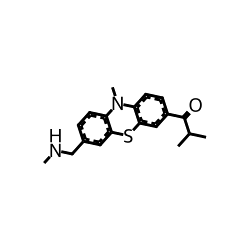 CNCc1ccc2c(c1)Sc1cc(C(=O)C(C)C)ccc1N2C